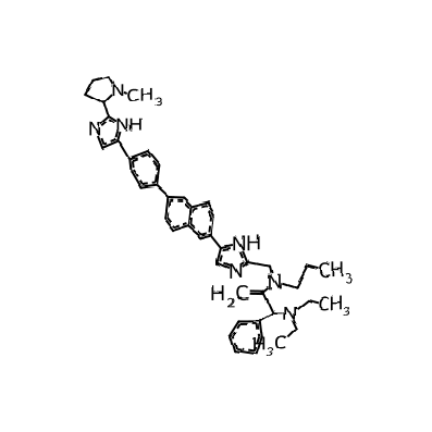 C=C(C(c1ccccc1)N(CC)CC)N(CCC)Cc1ncc(-c2ccc3cc(-c4ccc(-c5cnc(C6CCCN6C)[nH]5)cc4)ccc3c2)[nH]1